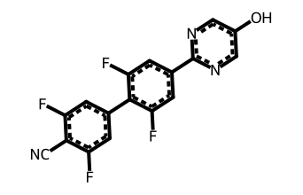 N#Cc1c(F)cc(-c2c(F)cc(-c3ncc(O)cn3)cc2F)cc1F